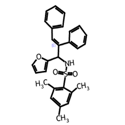 Cc1cc(C)c(S(=O)(=O)NC(/C(=C/c2ccccc2)c2ccccc2)c2ccco2)c(C)c1